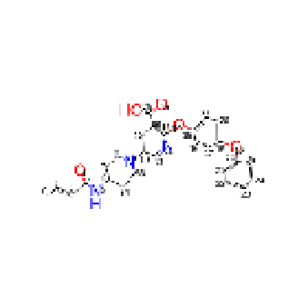 C/C=C/C(=O)NC1CCN(c2cnc(Oc3ccc(Oc4ccccc4)cc3)c(C(=O)O)c2)CC1